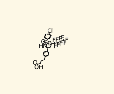 O=C(O)CCCc1ccc(C(CCC(F)(F)C(F)(F)C(F)(F)C(F)(F)F)NS(=O)(=O)c2ccc(Cl)cc2)cc1